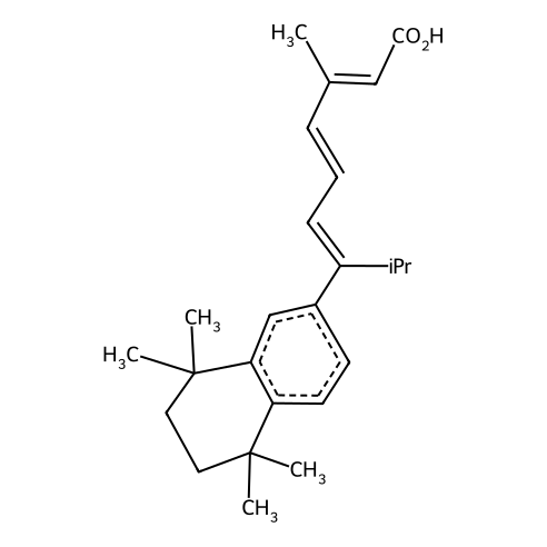 CC(C=CC=C(c1ccc2c(c1)C(C)(C)CCC2(C)C)C(C)C)=CC(=O)O